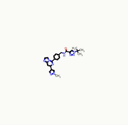 Cn1cc(-c2cc3nccn3c(-c3ccc(CNC(=O)c4cn(C(C)(C)C)nn4)cc3)n2)cn1